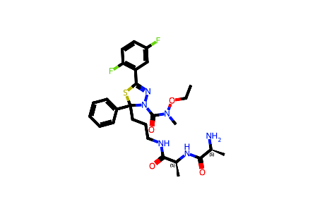 CCON(C)C(=O)N1N=C(c2cc(F)ccc2F)SC1(CCCNC(=O)[C@H](C)NC(=O)[C@H](C)N)c1ccccc1